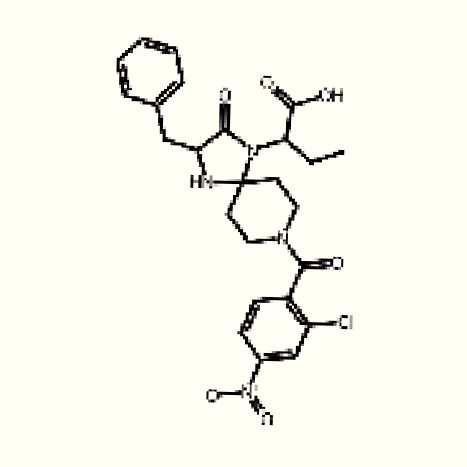 CCC(C(=O)O)N1C(=O)C(Cc2ccccc2)NC12CCN(C(=O)c1ccc([N+](=O)[O-])cc1Cl)CC2